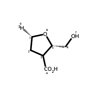 [3H][C@H]1CC(C(=O)O)[C@@H](CO)O1